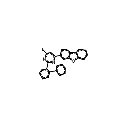 Ic1cc(-c2ccc3c(c2)oc2ccccc23)nc(-c2ccccc2-c2ccccc2)n1